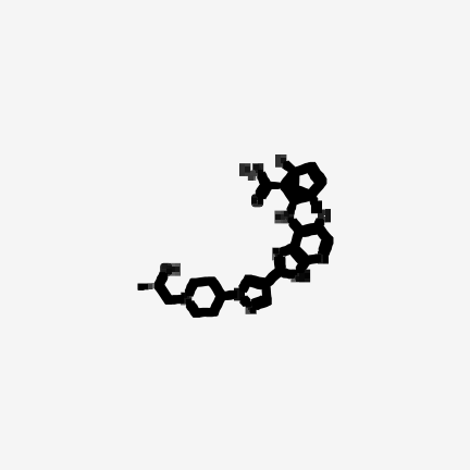 C[C@H](O)CN1CCC(n2cc(-c3nc4c(N[C@H]5[C@@H](C(N)=O)[C@@H]6C=C[C@H]5C6)c(Cl)cnc4[nH]3)cn2)CC1